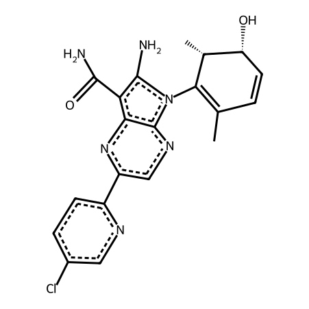 CC1=C(n2c(N)c(C(N)=O)c3nc(-c4ccc(Cl)cn4)cnc32)[C@H](C)[C@H](O)C=C1